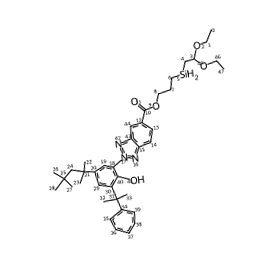 CCOC(C[SiH2]CCCOC(=O)c1ccc2nn(-c3cc(C(C)(C)CC(C)(C)C)cc(C(C)(C)c4ccccc4)c3O)nc2c1)OCC